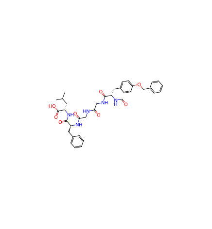 CC(C)C[C@H](NC(=O)[C@H](Cc1ccccc1)NC(=O)CNC(=O)CNC(=O)[C@H](Cc1ccc(OCc2ccccc2)cc1)NC=O)C(=O)O